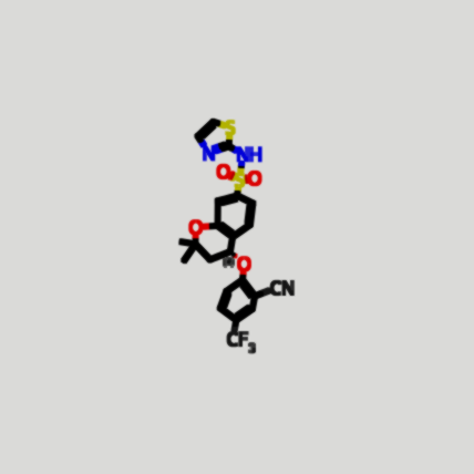 CC1(C)C[C@@H](Oc2ccc(C(F)(F)F)cc2C#N)c2ccc(S(=O)(=O)Nc3nccs3)cc2O1